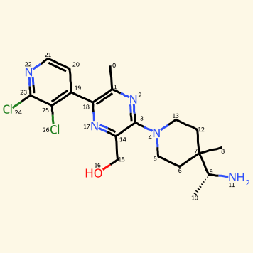 Cc1nc(N2CCC(C)([C@@H](C)N)CC2)c(CO)nc1-c1ccnc(Cl)c1Cl